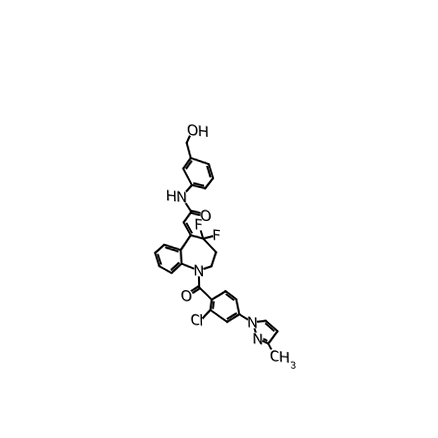 Cc1ccn(-c2ccc(C(=O)N3CCC(F)(F)/C(=C\C(=O)Nc4cccc(CO)c4)c4ccccc43)c(Cl)c2)n1